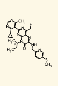 CC[C@@H](C)n1c(=O)c(NCc2ccc(SC)cn2)nc2c(CF)nc(-c3c(C)ncnc3C3CC3)nc21